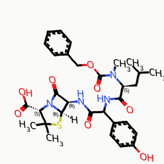 CC(C)C[C@@H](C(=O)NC(C(=O)N[C@@H]1C(=O)N2[C@@H]1SC(C)(C)[C@@H]2C(=O)O)c1ccc(O)cc1)N(C)C(=O)OCc1ccccc1